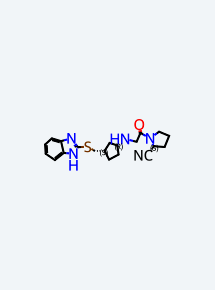 N#C[C@@H]1CCCN1C(=O)CN[C@@H]1CC[C@H](CSc2nc3ccccc3[nH]2)C1